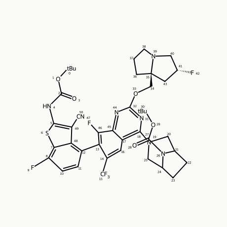 CC(C)(C)OC(=O)Nc1sc2c(F)ccc(-c3c(C(F)(F)F)cc4c(N5CC6CCC(C5)N6C(=O)OC(C)(C)C)nc(OC[C@@]56CCCN5C[C@H](F)C6)nc4c3F)c2c1C#N